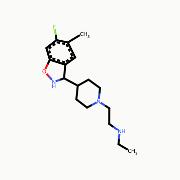 CCNCCN1CCC(C2NOc3cc(F)c(C)cc32)CC1